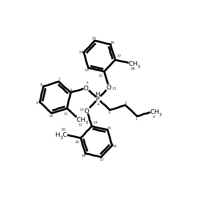 CCCC[PH](Oc1ccccc1C)(Oc1ccccc1C)Oc1ccccc1C